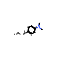 CCCCCc1ccc(N(C)C)cc1